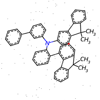 CC1(C)c2ccccc2-c2cc(N(c3cccc(-c4ccccc4)c3)c3ccccc3-c3cccc4c3-c3ccccc3C4(C)C)ccc21